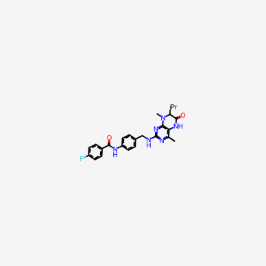 Cc1nc(NCc2ccc(NC(=O)c3ccc(F)cc3)cc2)nc2c1NC(=O)C(C(C)C)N2C